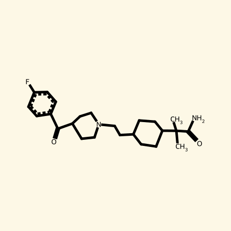 CC(C)(C(N)=O)C1CCC(CCN2CCC(C(=O)c3ccc(F)cc3)CC2)CC1